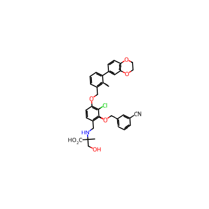 Cc1c(COc2ccc(CNC(C)(CO)C(=O)O)c(OCc3cccc(C#N)c3)c2Cl)cccc1-c1ccc2c(c1)OCCO2